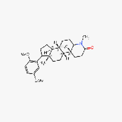 COc1ccc(OC)c(C2CC[C@H]3[C@@H]4CCC5N(C)C(=O)CC[C@]5(C)[C@@H]4CC[C@]23C)c1